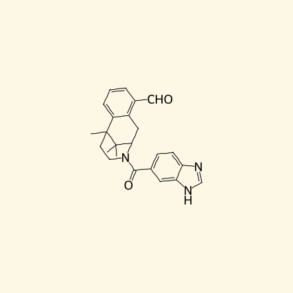 CC12CCN(C(=O)c3ccc4nc[nH]c4c3)C(Cc3c(C=O)cccc31)C2(C)C